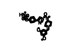 CNS(=O)(=O)Oc1ccc(-c2cn(C(=O)N(C)C3CCN(Cc4cc(OC)cc(OC)c4)CC3)cn2)cc1